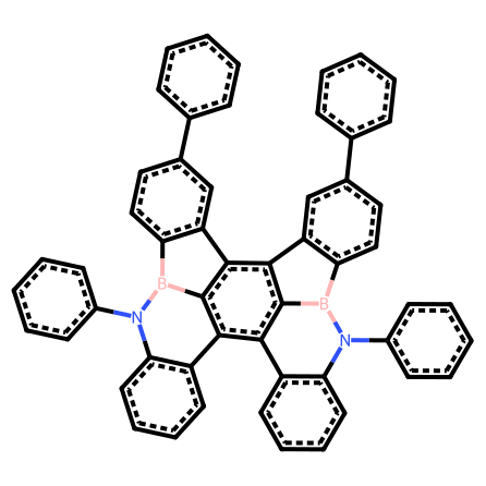 c1ccc(-c2ccc3c(c2)-c2c4c(c5c6c2-c2cc(-c7ccccc7)ccc2B6N(c2ccccc2)c2ccccc2-5)-c2ccccc2N(c2ccccc2)B34)cc1